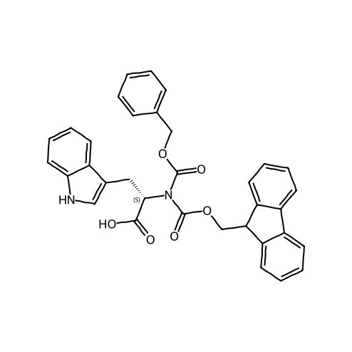 O=C(O)[C@H](Cc1c[nH]c2ccccc12)N(C(=O)OCc1ccccc1)C(=O)OCC1c2ccccc2-c2ccccc21